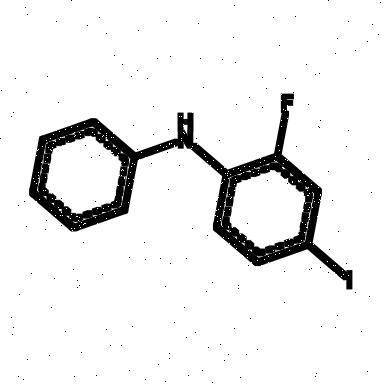 Fc1cc(I)ccc1Nc1ccccc1